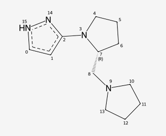 c1cc(N2CCC[C@@H]2CN2CCCC2)n[nH]1